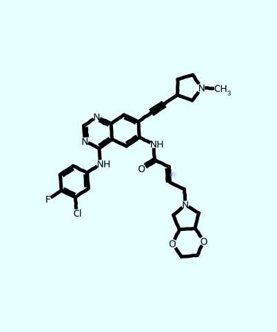 CN1CCC(C#Cc2cc3ncnc(Nc4ccc(F)c(Cl)c4)c3cc2NC(=O)/C=C/CN2CC3OCCOC3C2)C1